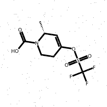 C[C@@H]1C=C(OS(=O)(=O)C(F)(F)F)CCN1C(=O)O